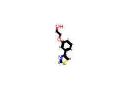 OCCOc1cccc(-c2cs[c]n2)c1